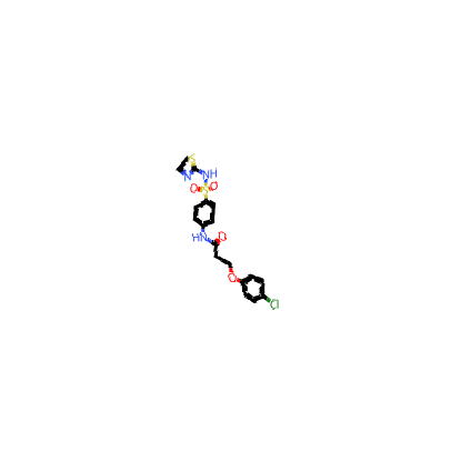 O=C(CCOc1ccc(Cl)cc1)Nc1ccc(S(=O)(=O)Nc2nccs2)cc1